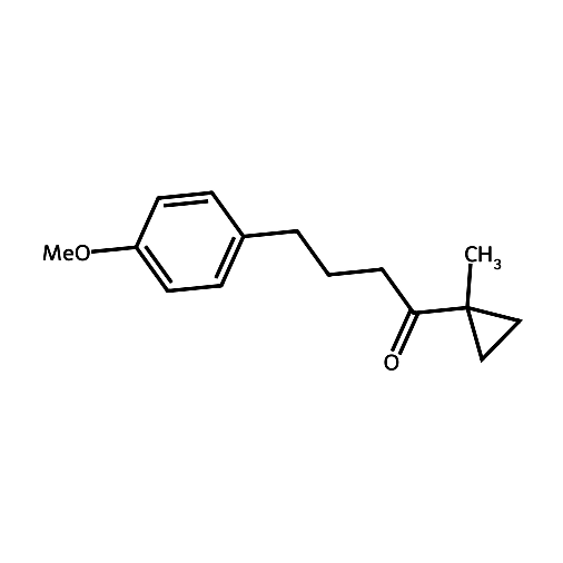 COc1ccc(CCCC(=O)C2(C)CC2)cc1